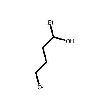 CCC(O)CCC[O]